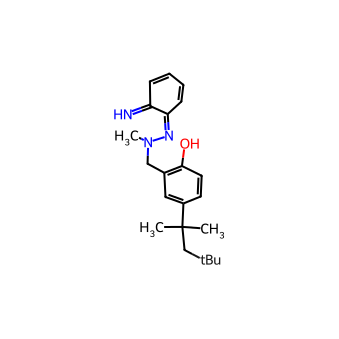 CN(Cc1cc(C(C)(C)CC(C)(C)C)ccc1O)/N=C1/C=CC=CC1=N